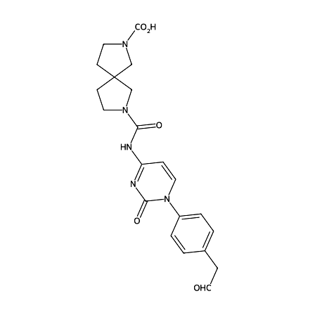 O=CCc1ccc(-n2ccc(NC(=O)N3CCC4(CCN(C(=O)O)C4)C3)nc2=O)cc1